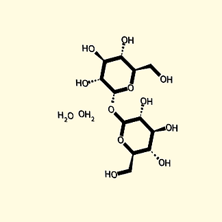 O.O.OC[C@H]1O[C@H](OC2O[C@H](CO)[C@@H](O)[C@H](O)[C@H]2O)[C@H](O)[C@@H](O)[C@@H]1O